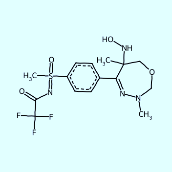 CN1COCC(C)(NO)C(c2ccc(S(C)(=O)=NC(=O)C(F)(F)F)cc2)=N1